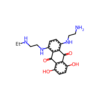 CCNCCNc1ccc(NCCN)c2c1C(=O)c1c(O)ccc(O)c1C2=O